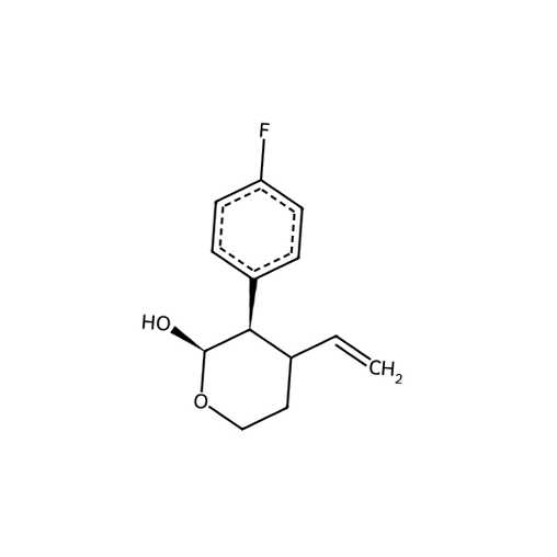 C=CC1CCO[C@@H](O)[C@H]1c1ccc(F)cc1